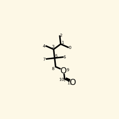 CC(C)C(C)C(C)(C)CO[C]=O